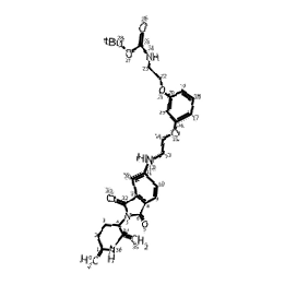 C=C1CCC(N2C(=O)c3ccc(NCCOc4cccc(OCCNC(=O)OC(C)(C)C)c4)cc3C2=O)C(=C)N1